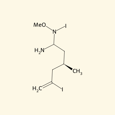 C=C(I)C[C@H](C)CC(N)N(I)OC